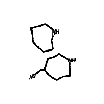 C1CCNCC1.OC1CCNCC1